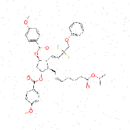 COc1ccc(C(=O)O[C@H]2C[C@@H](OC(=O)c3ccc(OC)cc3)[C@H](/C=C/C(F)(F)COc3ccccc3)[C@H]2C/C=C\CCCC(=O)OC(C)C)cc1